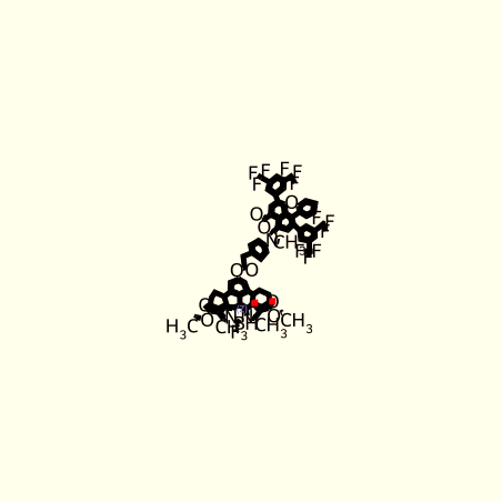 CCOC(=O)C1=C/C(=C(\c2c(C3CCCCC3)cc(OC(=O)Cc3ccc(N(C)C(=O)c4cc(-c5cc(C(F)(F)F)cc(C(F)(F)F)c5)c5c6c(c(-c7cc(C(F)(F)F)cc(C(F)(F)F)c7)cc(C=O)c46)Oc4ccccc4-5)cc3)cc2C2CCCCC2)c2cc(C(=O)OCC)c(C)n2BF)N=C1C